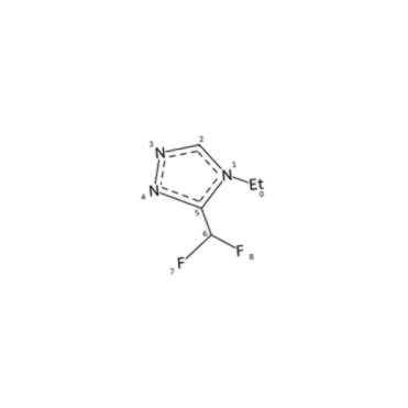 CCn1cnnc1C(F)F